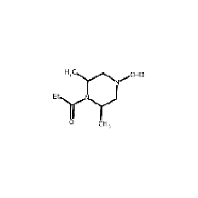 CCC(=O)N1C(C)CN(C=O)CC1C